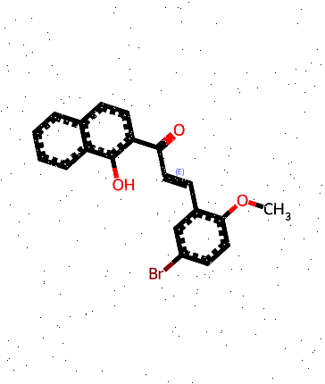 COc1ccc(Br)cc1/C=C/C(=O)c1ccc2ccccc2c1O